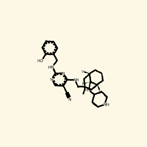 CC1(CNc2nc(NCc3ccccc3O)ncc2C#N)C[C@H]2CCC[C@@H](C1)[C@@H]2NC1CCNCC1